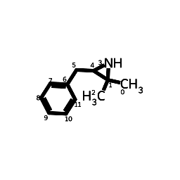 CC1(C)NC1Cc1ccccc1